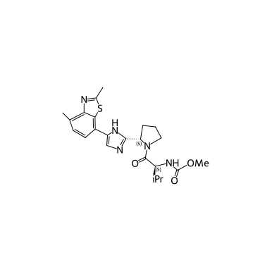 COC(=O)N[C@H](C(=O)N1CCC[C@H]1c1ncc(-c2ccc(C)c3nc(C)sc23)[nH]1)C(C)C